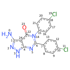 Nc1n[nH]c2nc(-c3ccc(Cl)cc3)n(-c3ccc(Cl)cc3)c(=O)c12